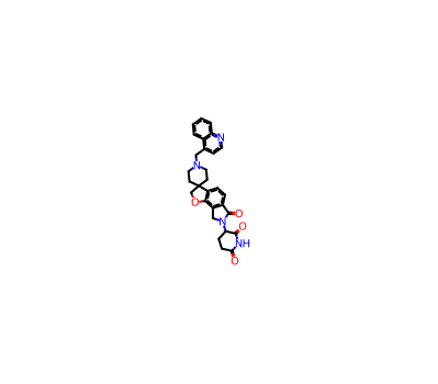 O=C1CCC(N2Cc3c(ccc4c3OCC43CCN(Cc4ccnc5ccccc45)CC3)C2=O)C(=O)N1